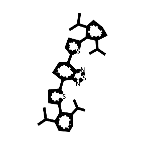 CC(C)c1cccc(C(C)C)c1-c1ccc(-c2ccc(-c3ccc(-c4c(C(C)C)cccc4C(C)C)s3)c3nsnc23)s1